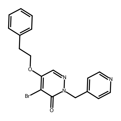 O=c1c(Br)c(OCCc2ccccc2)cnn1Cc1ccncc1